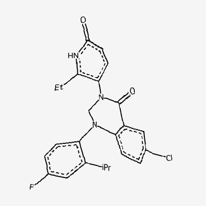 CCc1[nH]c(=O)ccc1N1CN(c2ccc(F)cc2C(C)C)c2ccc(Cl)cc2C1=O